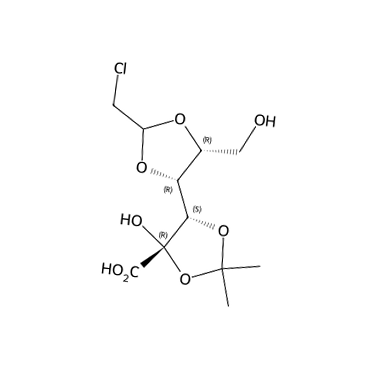 CC1(C)O[C@@H]([C@@H]2OC(CCl)O[C@@H]2CO)[C@](O)(C(=O)O)O1